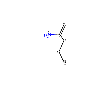 C=C(N)CCCC